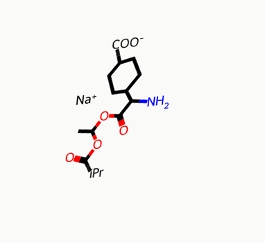 CC(OC(=O)C(C)C)OC(=O)C(N)C1CCC(C(=O)[O-])CC1.[Na+]